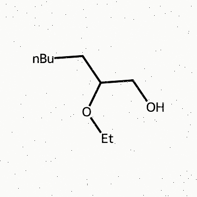 CCCCCC(CO)OCC